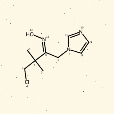 CC(C)(CCl)C(Cn1ccnc1)=NO